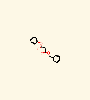 O=C(CC(=O)Oc1ccccc1)OCc1ccccc1